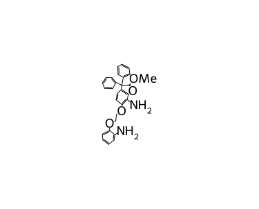 COC(=O)C(c1ccccc1)(c1ccccc1)c1ccc(OCCOc2ccccc2N)c(N)c1